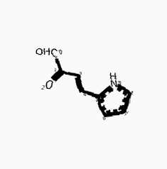 O=CC(=O)C=Cc1ccc[nH]1